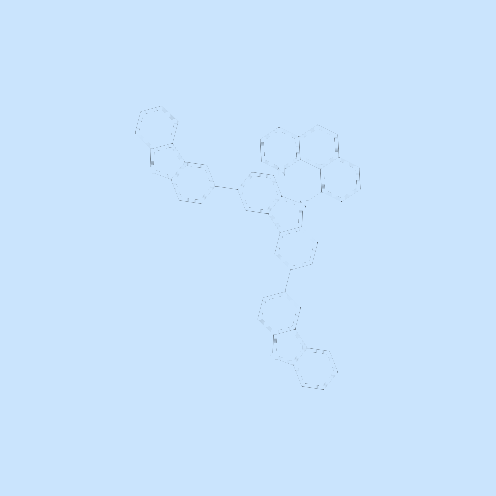 c1cnc2c(c1)ccc1cccc(-n3c4ccc(-c5ccc6sc7ccccc7c6c5)cc4c4cc(-c5ccc6sc7ccccc7c6c5)ccc43)c12